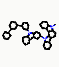 Cn1c2ccccc2c2c1ccc1c3ccccc3n(-c3ccc4c(c3)c3ccccc3n4-c3cccc(-c4cccc(-c5ccccc5)c4)c3)c12